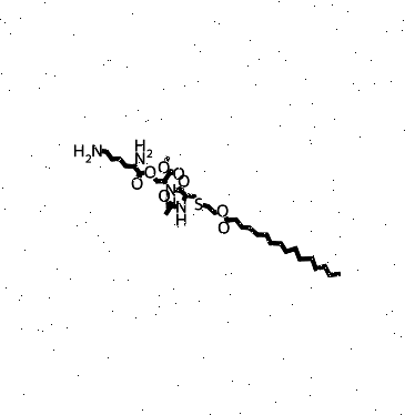 CCCCCCCCCCCCCCCC(=O)OCCSCC(NC(C)=O)C(=O)NC(COC(=O)C(N)CCCCN)C(=O)OC